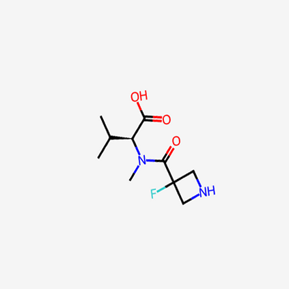 CC(C)[C@@H](C(=O)O)N(C)C(=O)C1(F)CNC1